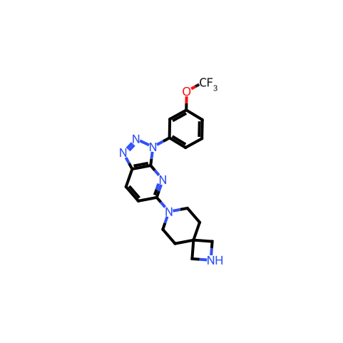 FC(F)(F)Oc1cccc(-n2nnc3ccc(N4CCC5(CC4)CNC5)nc32)c1